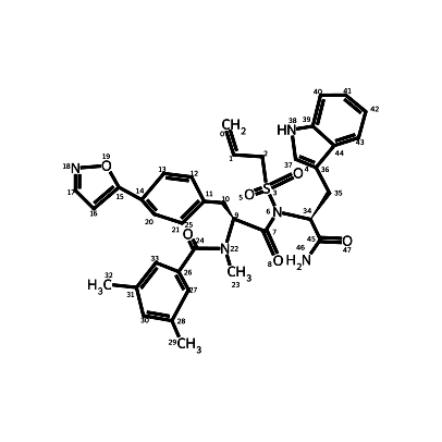 C=CCS(=O)(=O)N(C(=O)[C@H](Cc1ccc(-c2ccno2)cc1)N(C)C(=O)c1cc(C)cc(C)c1)[C@@H](Cc1c[nH]c2ccccc12)C(N)=O